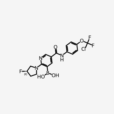 O=C(Nc1ccc(OC(F)(F)Cl)cc1)c1cnc(N2CC[C@@H](F)C2)c(B(O)O)c1